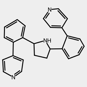 c1ccc(C2CCC(c3ccccc3-c3ccncc3)N2)c(-c2ccncc2)c1